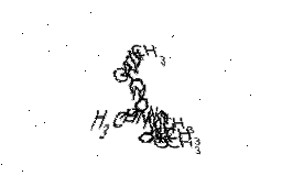 CCOc1cc(N2CCC(C(=O)N3CCN(C)CC3)CC2)ccc1Nc1nc(Nc2ccccc2S(=O)(=O)C(C)C)c2c(ccn2C)n1